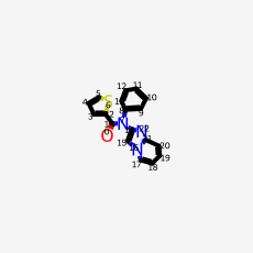 O=C(c1cccs1)N(c1ccccc1)c1cn2ccccc2n1